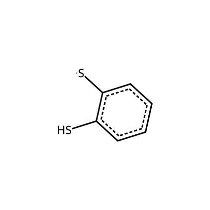 [S]c1ccccc1S